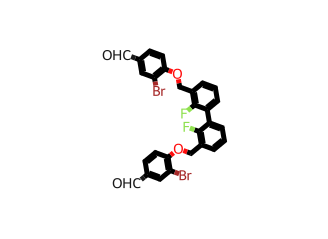 O=Cc1ccc(OCc2cccc(-c3cccc(COc4ccc(C=O)cc4Br)c3F)c2F)c(Br)c1